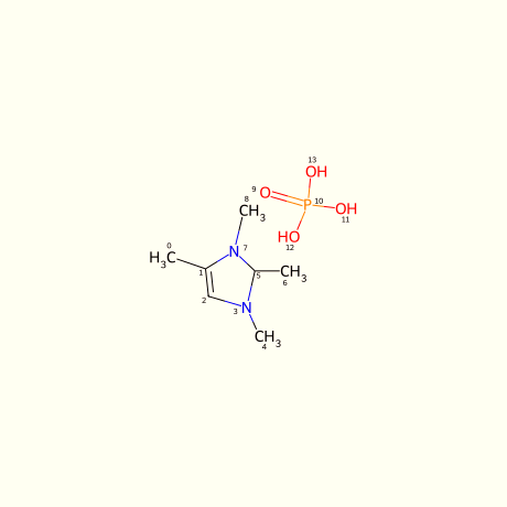 CC1=CN(C)C(C)N1C.O=P(O)(O)O